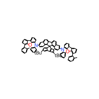 Cc1ccccc1-c1cccc2c1oc1c(N(c3ccccc3)c3ccc4c5c(ccc4c3)-c3ccc4cc(N(c6ccccc6)c6cccc7c6oc6c(-c8ccccc8C)cccc67)ccc4c3C53c4ccc(C(C)(C)C)cc4-c4cc(C(C)(C)C)ccc43)cccc12